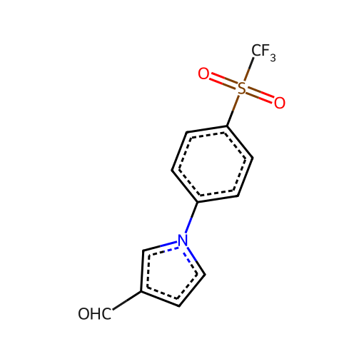 O=Cc1ccn(-c2ccc(S(=O)(=O)C(F)(F)F)cc2)c1